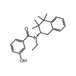 CCN(C(=O)c1cccc(O)c1)[C@@H]1Cc2ccccc2C(C)(C)C1(C)C